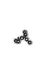 CN(c1ccc(N(c2ccc(-c3ccccc3)cc2)c2ccc3ccccc3c2)cc1)c1cccc2ccccc12